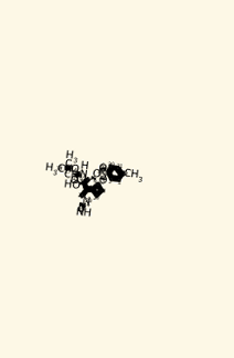 Cc1ccc(S(=O)(=O)OC[C@@H](NC(=O)OC(C)(C)C)[C@H](O)C(CN=[N+]=N)=C2CCC2)cc1